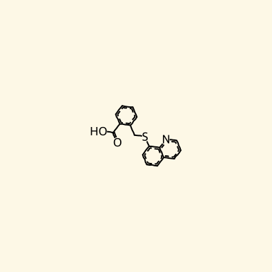 O=C(O)c1ccccc1CSc1cccc2cccnc12